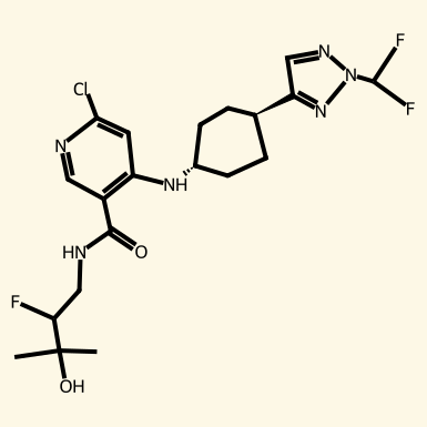 CC(C)(O)C(F)CNC(=O)c1cnc(Cl)cc1N[C@H]1CC[C@H](c2cnn(C(F)F)n2)CC1